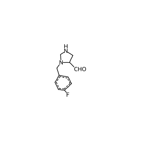 O=CC1CNCN1Cc1ccc(F)cc1